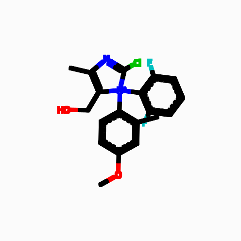 COc1ccc([N+]2(c3c(F)cccc3F)C(Cl)=NC(C)=C2CO)c(C)c1